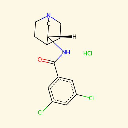 Cl.O=C(N[C@H]1CN2CCC1CC2)c1cc(Cl)cc(Cl)c1